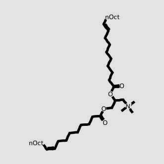 CCCCCCCCC=CCCCCCCCC(=O)OC(COC(=O)CCCCCCC/C=C\CCCCCCCC)C[N+](C)(C)C